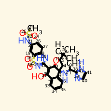 CC(NC1(CCC(C)(C)C)C(=O)C(C2=NS(=O)(=O)c3cc(NS(C)(=O)=O)ccc3N2)=C(O)c2ccccc21)c1ncc[nH]1